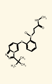 CNC(=O)CC[S+]([O-])c1ccccc1Sc1ccc2nnc(C(C)(C)C)n2c1